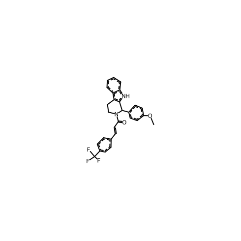 COc1ccc(C2c3[nH]c4ccccc4c3CCN2C(=O)/C=C/c2ccc(C(F)(F)F)cc2)cc1